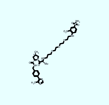 Cc1ncsc1-c1ccc(CNC(=O)[C@@H]2C[C@@H](C)CN2C(=O)[C@@H](NCCCOCCOCCOCCNc2ccc(S(N)(=O)=O)cc2[N+](=O)[O-])C(C)(C)C)cc1